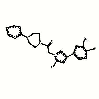 CCc1cc(-c2ccc(F)c(C)c2)nn1CC(=O)N1CCN(c2ccccn2)CC1